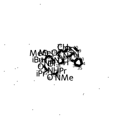 CC[C@H](C)[C@H](NC(=O)[C@@H](NC(=O)[C@@H](NC)C(C)C)C(C)C)[C@@H](CC(=O)N1CCC[C@H]1[C@H](OC)[C@@H](C)C(=O)N[C@@H](Cc1ccccc1)c1nccs1)OC